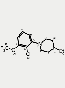 CCN1CCN(c2cccc(OC(F)(F)F)c2Cl)CC1